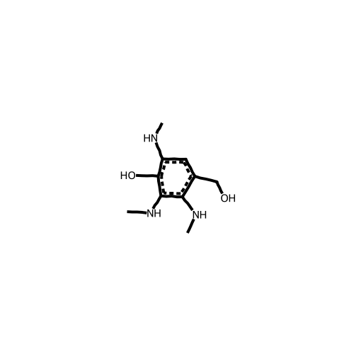 CNc1cc(CO)c(NC)c(NC)c1O